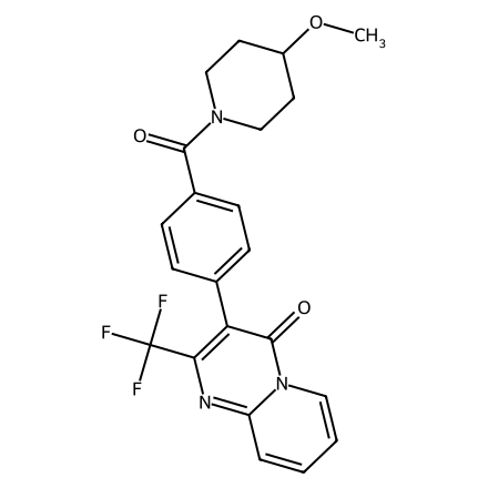 COC1CCN(C(=O)c2ccc(-c3c(C(F)(F)F)nc4ccccn4c3=O)cc2)CC1